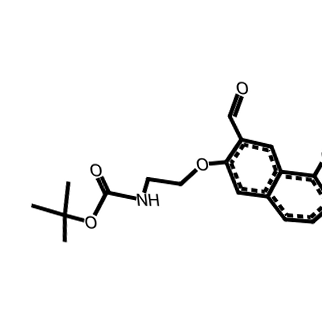 CC(C)(C)OC(=O)NCCOc1cc2cccc(Cl)c2cc1C=O